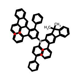 CC1(C)c2ccccc2-c2cc(-c3ccccc3)c(N(c3ccc(C4=CCCC=C4)cc3)c3cc(-c4ccccc4)c(-c4cc5ccccc5c5ccccc45)c(-c4ccccc4)c3)cc21